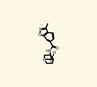 Cc1noc2cc(C(=O)N[C@H]3CN4CCC3CC4)ccc12